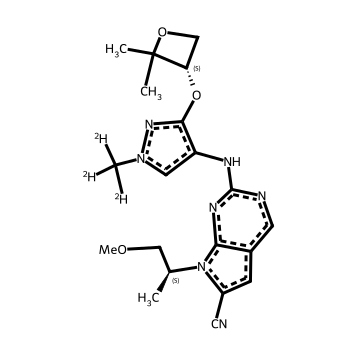 [2H]C([2H])([2H])n1cc(Nc2ncc3cc(C#N)n([C@@H](C)COC)c3n2)c(O[C@H]2COC2(C)C)n1